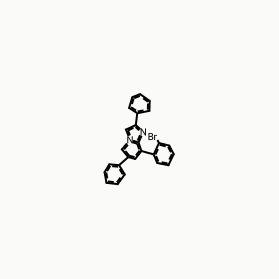 Brc1ccccc1-c1cc(-c2ccccc2)cn2cc(-c3ccccc3)nc12